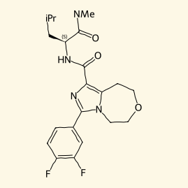 CNC(=O)[C@H](CC(C)C)NC(=O)c1nc(-c2ccc(F)c(F)c2)n2c1CCOCC2